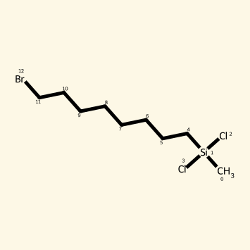 C[Si](Cl)(Cl)CCCCCCCCBr